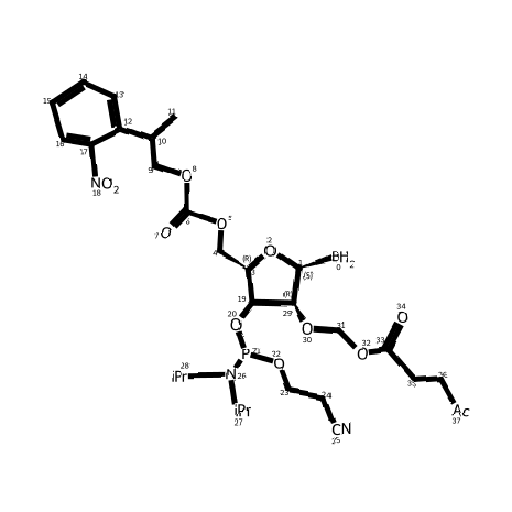 B[C@@H]1O[C@H](COC(=O)OCC(C)c2ccccc2[N+](=O)[O-])C(OP(OCCC#N)N(C(C)C)C(C)C)[C@@H]1OCOC(=O)CCC(C)=O